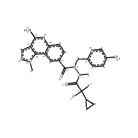 CN(C(=O)C(F)(F)C1CC1)N(Cc1ccc(C(F)(F)F)cn1)C(=O)c1ccc2nc(N)c3cnn(C)c3c2c1